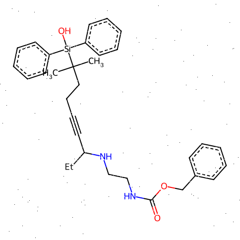 CCC(C#CCCC(C)(C)[Si](O)(c1ccccc1)c1ccccc1)NCCNC(=O)OCc1ccccc1